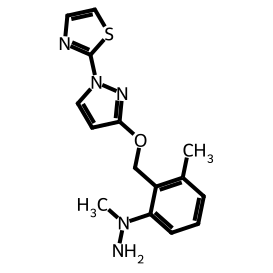 Cc1cccc(N(C)N)c1COc1ccn(-c2nccs2)n1